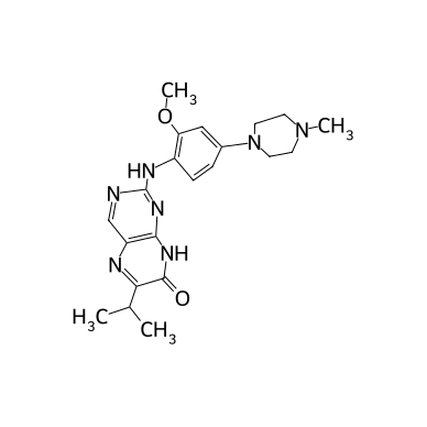 COc1cc(N2CCN(C)CC2)ccc1Nc1ncc2nc(C(C)C)c(=O)[nH]c2n1